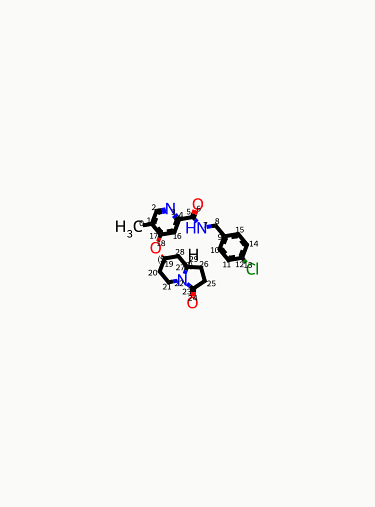 Cc1cnc(C(=O)NCc2ccc(Cl)cc2)cc1O[C@H]1CCN2C(=O)CC[C@@H]2C1